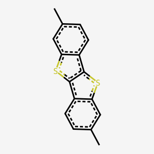 Cc1ccc2c(c1)sc1c3ccc(C)cc3sc21